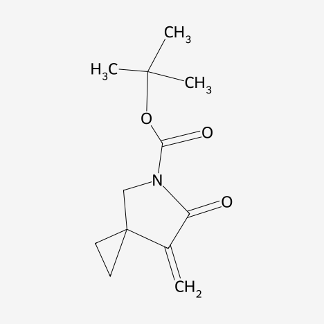 C=C1C(=O)N(C(=O)OC(C)(C)C)CC12CC2